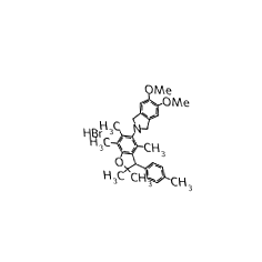 Br.COc1cc2c(cc1OC)CN(c1c(C)c(C)c3c(c1C)C(c1ccc(C)cc1)C(C)(C)O3)C2